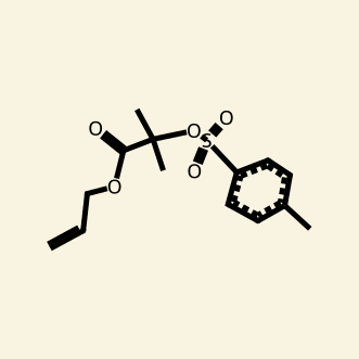 C=CCOC(=O)C(C)(C)OS(=O)(=O)c1ccc(C)cc1